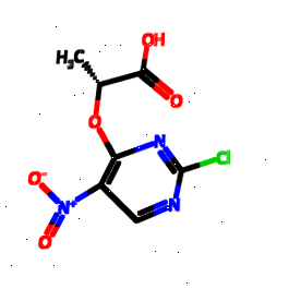 C[C@@H](Oc1nc(Cl)ncc1[N+](=O)[O-])C(=O)O